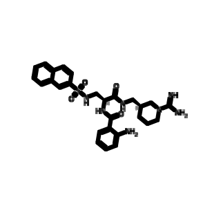 N=C(N)N1CCC[C@@H](CNC(=O)[C@H](CNS(=O)(=O)c2ccc3ccccc3c2)NC(=O)c2ccccc2N)C1